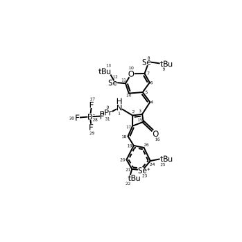 CCCNC1=C(C=C2C=C([Se]C(C)(C)C)OC([Se]C(C)(C)C)=C2)C(=O)/C1=C\c1cc(C(C)(C)C)[se+]c(C(C)(C)C)c1.F[B-](F)(F)F